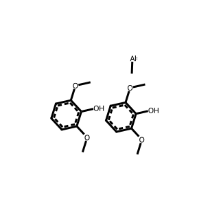 COc1cccc(OC)c1O.COc1cccc(OC)c1O.[CH3][Al]